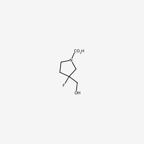 O=C(O)N1CCC(F)(CO)C1